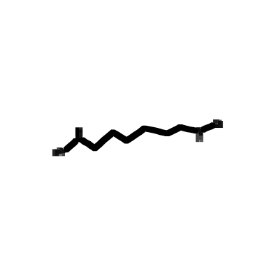 [CH2]CCNCCCCCCNCC